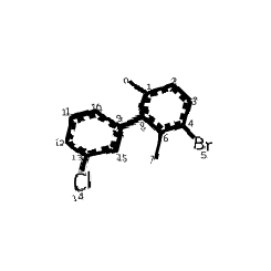 Cc1ccc(Br)c(C)c1-c1cccc(Cl)c1